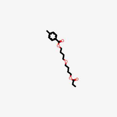 CCC(=O)OCCCCOCCCCOC(=O)c1ccc(C)cc1